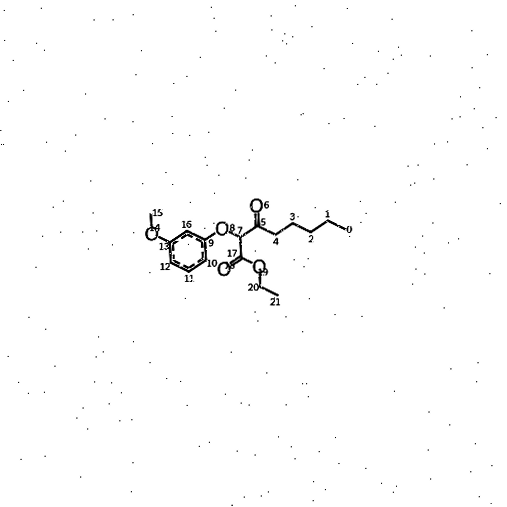 CCCCCC(=O)C(Oc1cccc(OC)c1)C(=O)OCC